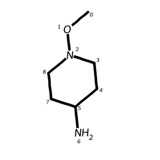 CON1CCC(N)CC1